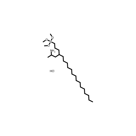 CCCCCCCCCCCCCCCC(CCC[Si](OC)(OC)OC)CC(C)N.Cl